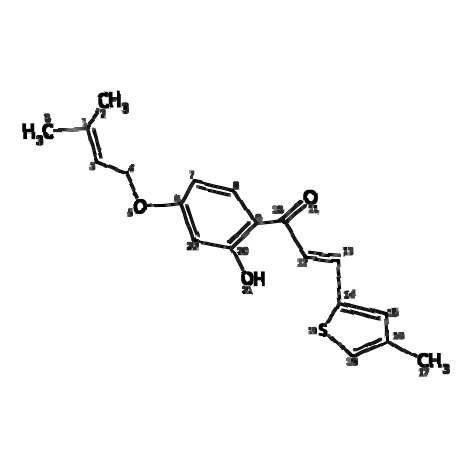 CC(C)=CCOc1ccc(C(=O)C=Cc2cc(C)cs2)c(O)c1